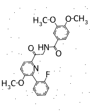 COc1ccc(C(=O)NCC(=O)c2ccc(OC)c(-c3ccccc3F)n2)cc1OC